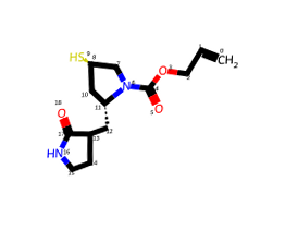 C=CCOC(=O)N1C[C@@H](S)C[C@H]1CC1CCNC1=O